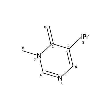 C=C1C(C(C)C)=CN=CN1C